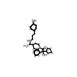 CC(NCCCc1ccc(O)cc1)C1CCN(C(=O)C(O)(c2ccccc2)C2CCCC2)CC1